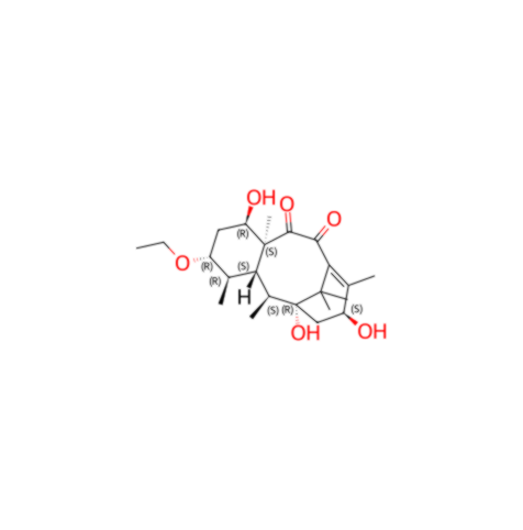 CCO[C@@H]1C[C@@H](O)[C@@]2(C)C(=O)C(=O)C3=C(C)[C@@H](O)C[C@@](O)([C@@H](C)[C@@H]2[C@H]1C)C3(C)C